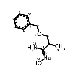 CC(COCc1ccccc1)/C(N)=N/O